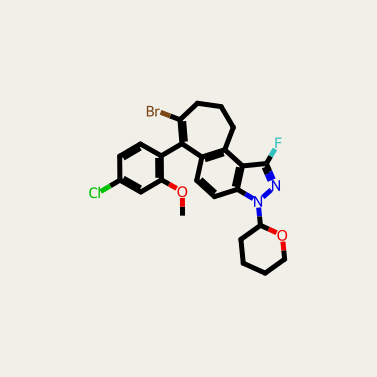 COc1cc(Cl)ccc1C1=C(Br)CCCc2c1ccc1c2c(F)nn1C1CCCCO1